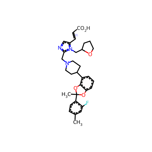 Cc1ccc(C2(C)Oc3cccc(C4CCN(Cc5ncc(/C=C/C(=O)O)n5CC5CCCO5)CC4)c3O2)c(F)c1